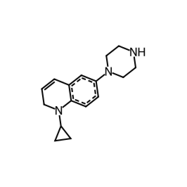 C1=Cc2cc(N3CCNCC3)ccc2N(C2CC2)C1